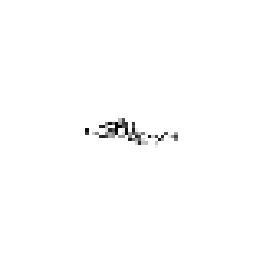 C[C@]12CC[C@H]3[C@@H](CCC4=CC(=O)C=C[C@@]43C)[C@@H]1CC[C@@H]2C(=O)CC=CC(=O)O